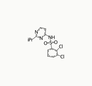 CC(C)c1nccc(NS(=O)(=O)c2cccc(Cl)c2Cl)n1